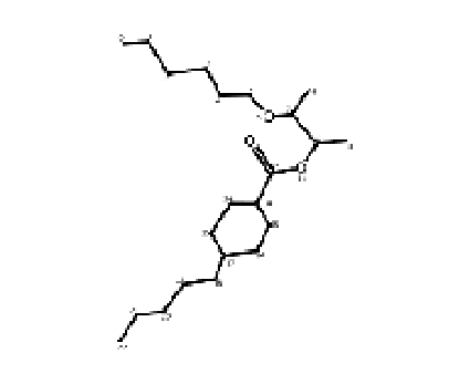 CCCCCCOC(C)C(C)OC(=O)C1CCC(CCCCC)CC1